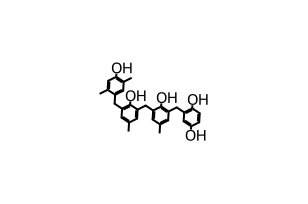 Cc1cc(Cc2cc(C)c(O)cc2C)c(O)c(Cc2cc(C)cc(Cc3cc(O)ccc3O)c2O)c1